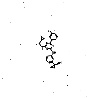 C[C@@H](Nc1nc(Nc2ccnc(C3(C#N)CC3)c2)nc(-c2cccc(Cl)n2)n1)C1CC1